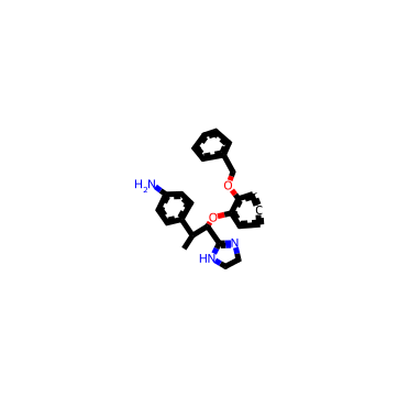 CC(c1ccc(N)cc1)C(Oc1ccccc1OCc1ccccc1)C1=NCCN1